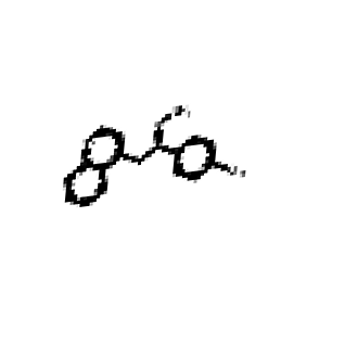 NN=C(Cc1ccnc2ccccc12)c1ccc(C(F)(F)F)cc1